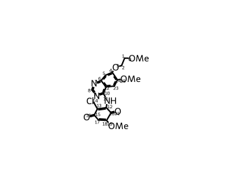 COCCOc1cc2ncnc(NC3=C(Cl)C(=O)C=C(OC)C3=O)c2cc1OC